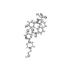 COCCN1CCN(c2cc(C(=O)Nc3ccc4c(c3)-c3c(c(C(N)=O)nn3-c3ccc(F)cc3)CC4)c(Cl)cn2)CC1